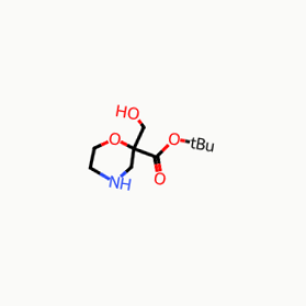 CC(C)(C)OC(=O)C1(CO)CNCCO1